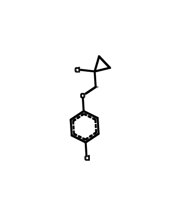 Clc1ccc(O[CH]C2(Cl)CC2)cc1